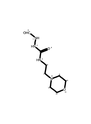 O=[C]NNC(=O)NCCN1CCOCC1